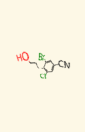 N#Cc1cc(Cl)c(CCCO)c(Br)c1